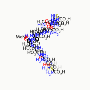 CC(C)C[C@H](N)C(=O)O.CC(C)[C@H](N)C(=O)O.CC[C@H](C)[C@H](N)C(=O)O.CNC(=O)Oc1ccc2c(c1)C1(C)CCN(C)C1N2C.C[C@H](N)C(=O)O.C[C@H](N)C(=O)O[C@H](C)[C@H](N)C(=O)O[C@H](C)[C@H](N)C(=O)O.NC(=O)C[C@H](N)C(=O)O.NCC(=O)O.NCC(=O)O.NCCCC[C@H](N)C(=O)O.N[C@@H](CO)C(=O)O.N[C@@H](CS)C(=O)O.N[C@@H](CS)C(=O)O.N[C@@H](Cc1c[nH]c2ccccc12)C(=O)O.O=C(O)[C@@H]1CCCN1